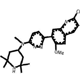 COc1cc2ccc(C#N)nc2cc1-c1ccc(N(C)C2CC(C)(C)NC(C)(C)C2)nn1